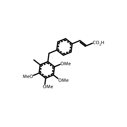 COc1c(C)c(Cc2ccc(C=CC(=O)O)cc2)c(OC)c(OC)c1OC